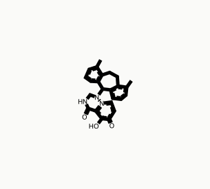 Cc1cccc2c1CCc1c(C)cccc1C2N1CNC(=O)c2c(O)c(=O)ccn21